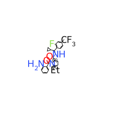 CC[C@@H]1CC[C@H](C(=O)NC(c2ccc(C(F)(F)F)cc2F)C2CC2)N1C(=O)c1ccccc1N